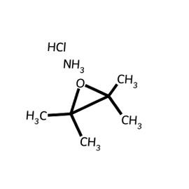 CC1(C)OC1(C)C.Cl.N